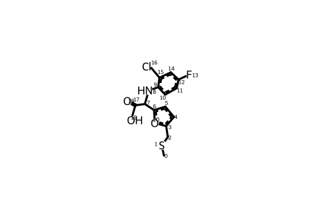 CSCc1ccc(C(Nc2ccc(F)cc2Cl)C(=O)O)o1